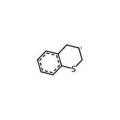 [C]1CSc2ccccc2C1